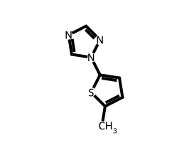 Cc1ccc(-n2cncn2)s1